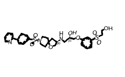 O=S(=O)(CCO)c1cccc(OC[C@@H](O)CN[C@H]2COC3(CCN(S(=O)(=O)c4ccc(-c5ccccn5)cc4)CC3)C2)c1